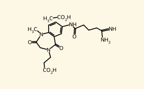 CC(=O)O.CN1C(=O)CN(CCC(=O)O)C(=O)c2cc(NC(=O)CCCC(=N)N)ccc21